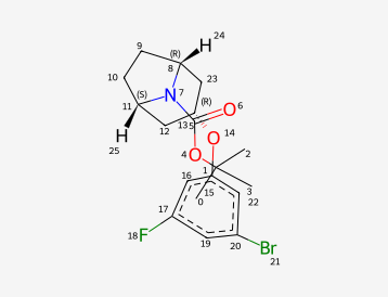 CC(C)(C)OC(=O)N1[C@@H]2CC[C@H]1C[C@@H](Oc1cc(F)cc(Br)c1)C2